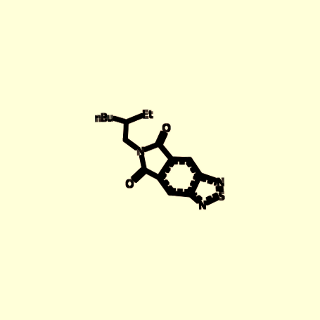 CCCCC(CC)CN1C(=O)c2cc3nsnc3cc2C1=O